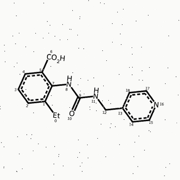 CCc1cccc(C(=O)O)c1NC(=O)NCc1ccncc1